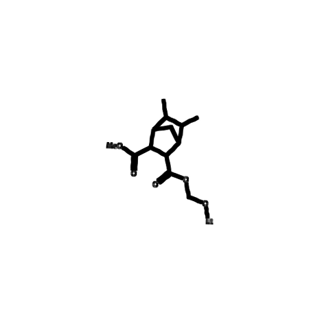 CCOCOC(=O)C1C2CC(C(C)C2C)C1C(=O)OC